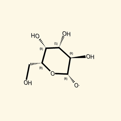 [O][C@@H]1O[C@H](CO)[C@H](O)[C@H](O)[C@H]1O